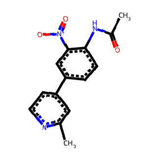 CC(=O)Nc1ccc(-c2ccnc(C)c2)cc1[N+](=O)[O-]